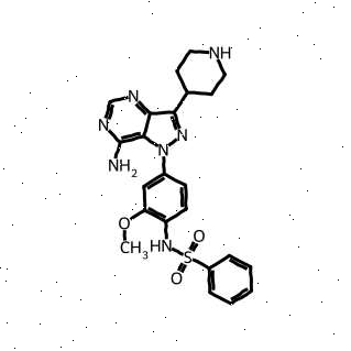 COc1cc(-n2nc(C3CCNCC3)c3ncnc(N)c32)ccc1NS(=O)(=O)c1ccccc1